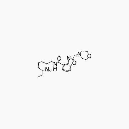 CCC1CCCC(CNC(=O)c2cccc3oc(CN4CCOCC4)nc23)N1C